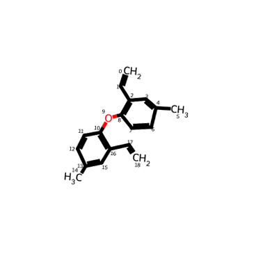 C=Cc1cc(C)ccc1Oc1ccc(C)cc1C=C